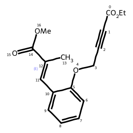 CCOC(=O)C#CCOc1ccccc1/C=C(\C)C(=O)OC